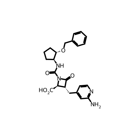 Nc1cc(C[C@H]2C(=O)N(C(=O)N[C@H]3CCC[C@@H]3OCc3ccccc3)[C@@H]2C(=O)O)ccn1